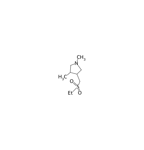 CCS(=O)(=O)CC1CN(C)CC1C